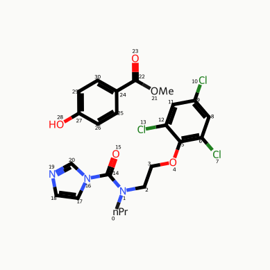 CCCN(CCOc1c(Cl)cc(Cl)cc1Cl)C(=O)n1ccnc1.COC(=O)c1ccc(O)cc1